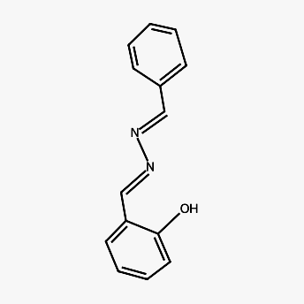 Oc1ccccc1C=NN=Cc1ccccc1